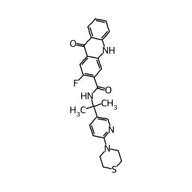 CC(C)(NC(=O)c1cc2[nH]c3ccccc3c(=O)c2cc1F)c1ccc(N2CCSCC2)nc1